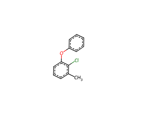 Cc1cccc(Oc2ccccc2)c1Cl